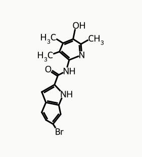 Cc1nc(NC(=O)c2cc3ccc(Br)cc3[nH]2)c(C)c(C)c1O